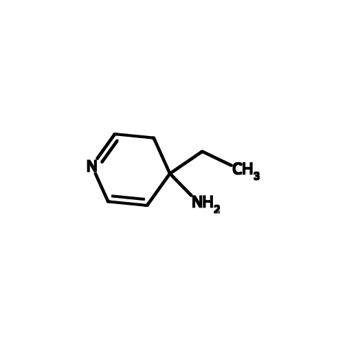 CCC1(N)C=CN=CC1